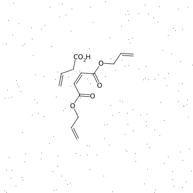 C=CCC(=O)O.C=CCOC(=O)/C=C\C(=O)OCC=C